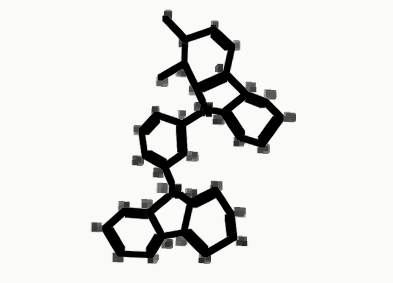 CC1C=Cc2c(n(-c3cccc(-n4c5ccccc5c5ccccc54)c3)c3ccccc23)C1C